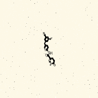 CN1N=C(C(=O)Nc2ccc(Cc3cc(F)cc(C#N)c3)cn2)CCC1=O